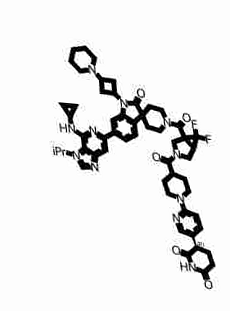 CC(C)n1cnc2cc(-c3ccc4c(c3)N(C3CC(N5CCCCC5)C3)C(=O)C43CCN(C(=O)C45CN(C(=O)C6CCN(c7ccc([C@H]8CCC(=O)NC8=O)cn7)CC6)CC4C5(F)F)CC3)nc(NC3CC3)c21